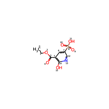 CCOC(=O)c1cc(S(=O)(=O)O)cnc1O